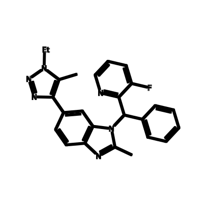 CCn1nnc(-c2ccc3nc(C)n(C(c4ccccc4)c4ncccc4F)c3c2)c1C